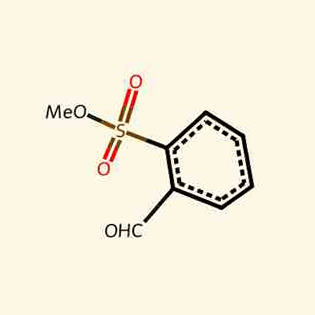 COS(=O)(=O)c1ccccc1C=O